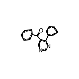 O=C(c1ccccc1)c1cncnc1-c1ccccc1